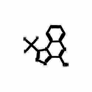 Oc1nc2ccccc2n2c(C(F)(F)F)nnc12